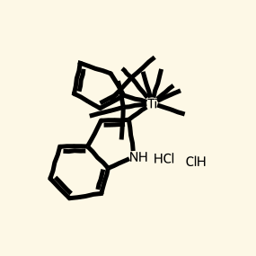 C[C](C)(C)[Ti]([CH3])([CH3])([CH3])([CH3])([CH3])([C]1=CC=CC1)([c]1cc2ccccc2[nH]1)[C](C)(C)C.Cl.Cl